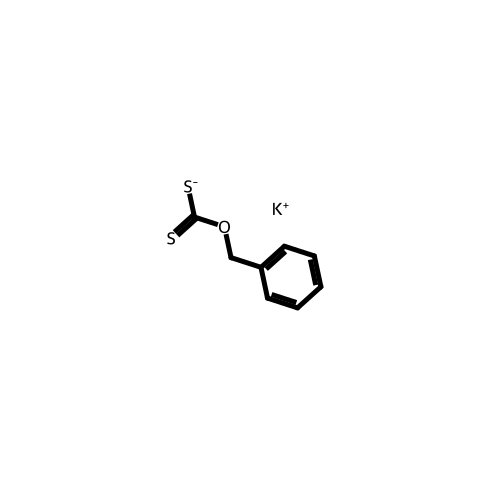 S=C([S-])OCc1ccccc1.[K+]